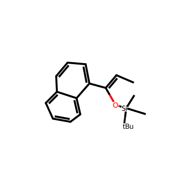 CC=C(O[Si](C)(C)C(C)(C)C)c1cccc2ccccc12